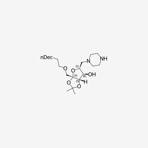 CCCCCCCCCCCCOC[C@@]12O[C@@H](CN3CCNCC3)[C@@H](O)[C@@H]1OC(C)(C)O2